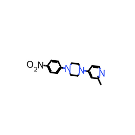 Cc1cc(N2CCN(c3ccc([N+](=O)[O-])cc3)CC2)ccn1